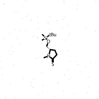 CN1C(=S)CC[C@H]1CO[Si](C)(C)C(C)(C)C